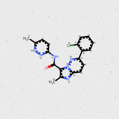 Cc1ccc(NC(=O)c2c(C)nc3ccc(-c4ccccc4Cl)nn23)nn1